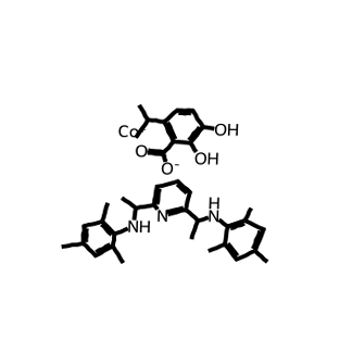 CC(C)c1ccc(O)c(O)c1C(=O)[O-].Cc1cc(C)c(NC(C)c2cccc(C(C)Nc3c(C)cc(C)cc3C)n2)c(C)c1.[Co+]